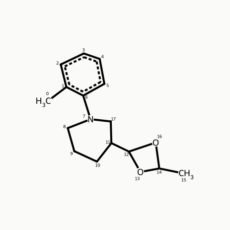 Cc1ccccc1N1CCCC(C2OC(C)O2)C1